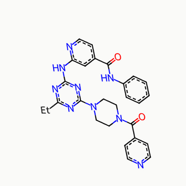 CCc1nc(Nc2cc(C(=O)Nc3ccccc3)ccn2)nc(N2CCN(C(=O)c3ccncc3)CC2)n1